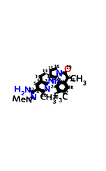 CN/N=C(\N)c1cc2c(nc1C)N[C@@]1(CC2)CCN(C(=O)[C@@H](C)c2ccc(C(F)(F)F)cc2)C1